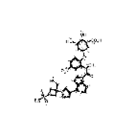 CCS(=O)(=O)N1CC(CC#N)(n2cc(-c3ncnc4c3ccn4C(=O)N(C)c3cc([N+](=O)[O-])ccc3O[C@H]3C[C@@H](O)[C@H](O)[C@@H](C(=O)O)O3)cn2)C1